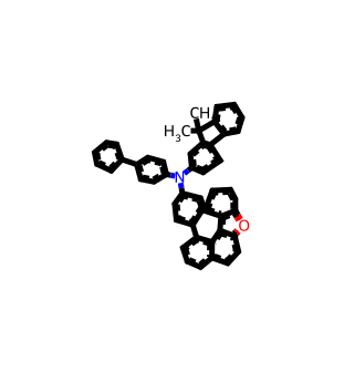 CC1(C)c2ccccc2-c2ccc(N(c3ccc(-c4ccccc4)cc3)c3ccc(-c4cccc5ccc6oc7ccccc7c6c45)cc3)cc21